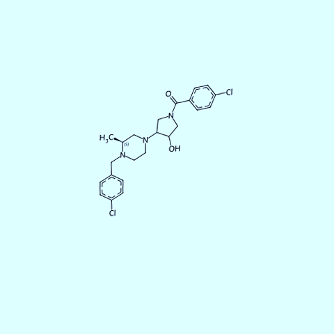 C[C@H]1CN(C2CN(C(=O)c3ccc(Cl)cc3)CC2O)CCN1Cc1ccc(Cl)cc1